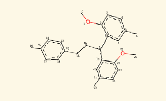 COc1ccc(C)cc1C(CCc1ccc(C)cc1)c1cc(C)ccc1OC